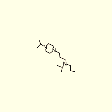 CCCN(CCCN1CCN(C(C)C)CC1)C(C)C